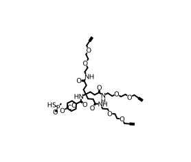 C#CCOCCOCCNC(=O)CCC(CCC(=O)NCCOCCOCC#C)(CCC(=O)NCCOCCOCC#C)NC(=O)C12CCC(OP(C)(=O)S)(CC1)CC2